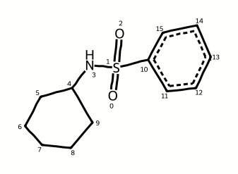 O=S(=O)(NC1CCCCC1)c1cc[c]cc1